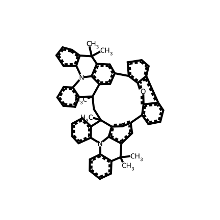 CC1(C)c2ccccc2N2c3ccccc3C3(C)CC4(C)c5ccccc5N5c6ccccc6C(C)(C)c6cc(cc4c65)-c4cccc5c4oc4c(cccc45)-c4cc1c2c3c4